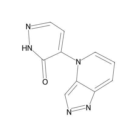 O=c1[nH]nccc1-n1cccc2nncc1-2